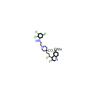 COc1ccc2ncc(F)c([C@@H](F)CCC3(C(=O)O)CCN(CCNc4cc(F)cc(F)c4F)CC3)c2c1